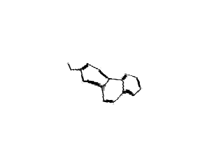 [CH2]Cc1ccc2c(ccc3ccccc32)c1